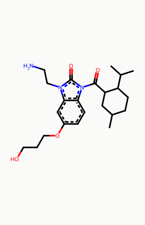 CC1CCC(C(C)C)C(C(=O)n2c(=O)n(CCN)c3cc(OCCCO)ccc32)C1